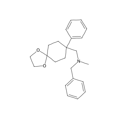 CN(Cc1ccccc1)CC1(c2ccccc2)CCC2(CC1)OCCO2